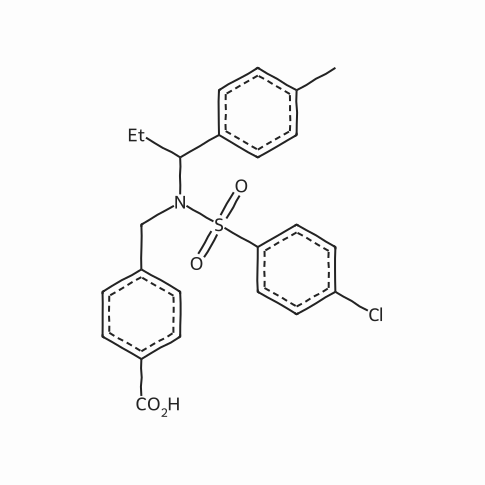 CCC(c1ccc(C)cc1)N(Cc1ccc(C(=O)O)cc1)S(=O)(=O)c1ccc(Cl)cc1